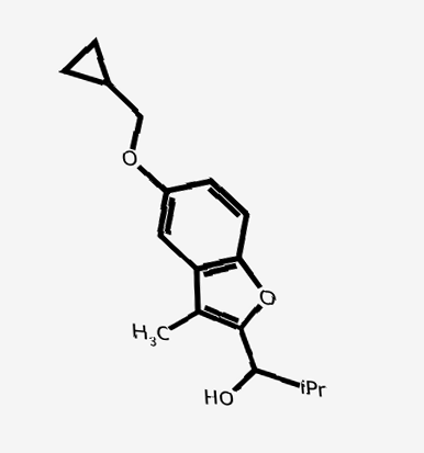 Cc1c(C(O)C(C)C)oc2ccc(OCC3CC3)cc12